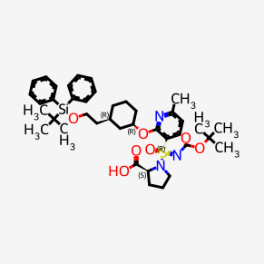 Cc1ccc([S@](=O)(=NC(=O)OC(C)(C)C)N2CCC[C@H]2C(=O)O)c(O[C@@H]2CCC[C@H](CCO[Si](c3ccccc3)(c3ccccc3)C(C)(C)C)C2)n1